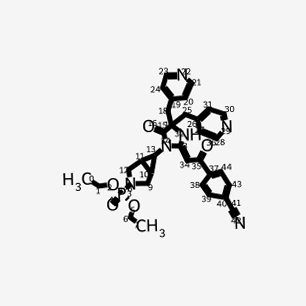 CCOP(=O)(OCC)N1CC2C(C1)C2N1C(=O)C(Cc2ccncc2)(Cc2ccncc2)NC1=CC(=O)c1ccc(C#N)cc1